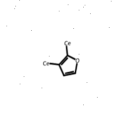 [Ce][c]1cco[c]1[Ce]